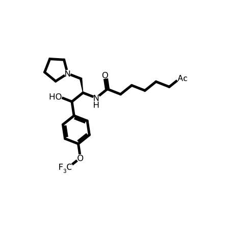 CC(=O)CCCCCC(=O)N[C@H](CN1CCCC1)C(O)c1ccc(OC(F)(F)F)cc1